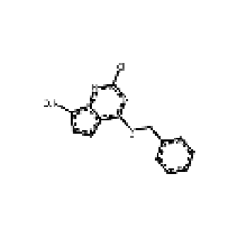 O=[N+]([O-])c1ccc2c(NCc3ccccc3)nc(Cl)nn12